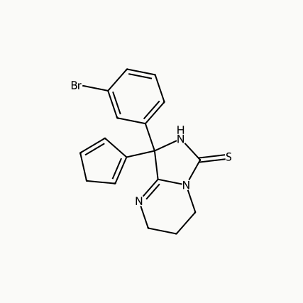 S=C1NC(C2=CCC=C2)(c2cccc(Br)c2)C2=NCCCN12